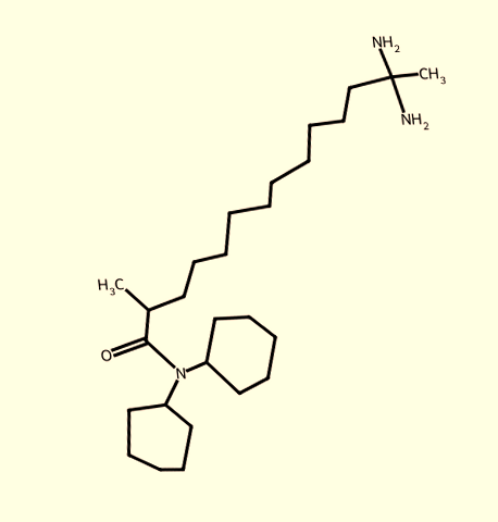 CC(CCCCCCCCCCC(C)(N)N)C(=O)N(C1CCCCC1)C1CCCCC1